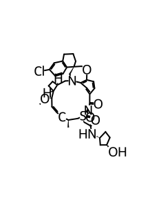 CO[C@H]1/C=C/C[C@H](C)C[S@@](=O)(CC(=O)N[C@@H]2CC[C@@H](O)C2)=NC(=O)c2ccc3c(c2)N(C[C@@H]2CC[C@H]21)C[C@@]1(CCCc2cc(Cl)ccc21)CO3